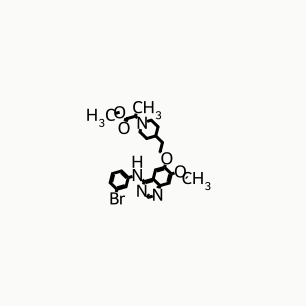 COC(=O)C(C)N1CCC(CCOc2cc3c(Nc4cccc(Br)c4)ncnc3cc2OC)CC1